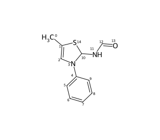 CC1=CN(c2ccccc2)C(NC=O)S1